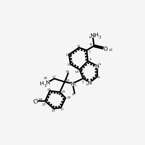 CN(c1ncnc2c(C(N)=O)cccc12)C(C)(CN)c1cccc(Cl)c1